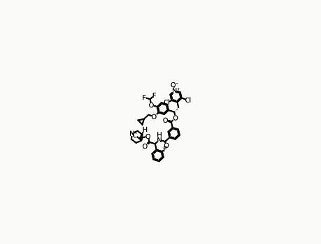 O=C(NC(C(=O)O[C@H]1CN2CCC1CC2)c1ccccc1F)c1cccc(C(=O)O[C@@H](Cc2c(Cl)c[n+]([O-])cc2Cl)c2ccc(OC(F)F)c(OCC3CC3)c2)c1